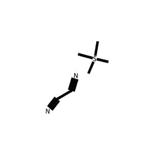 CS(C)(C)C.N#CC#N